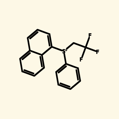 FC(F)(F)C[S+](c1ccccc1)c1cccc2ccccc12